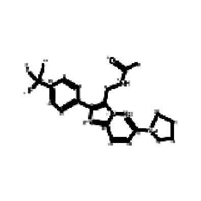 CC(=O)NCc1c(-c2ccc(C(F)(F)F)cc2)nc2ccc(N3CCCC3)nn12